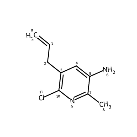 C=CCc1cc(N)c(C)nc1Cl